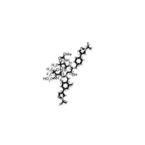 COC(=O)N[C@H](C(=O)N[C@@H](Cc1ccc(-c2cnn(C(F)F)c2)cc1)[C@@H](O)CN(Cc1c(F)cc(-c2cnn(C(F)F)c2)cc1F)NC(=O)[C@@H](NC(=O)O)C(C)(C)C(F)(F)F)C(C)(C)C(F)(F)F